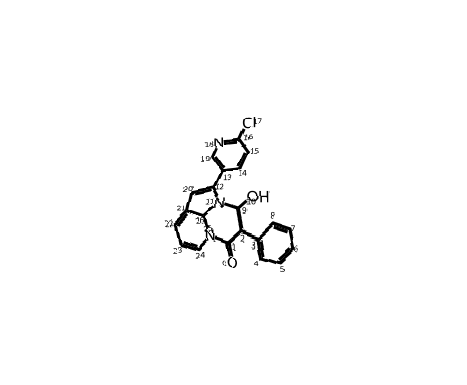 O=C1C(c2ccccc2)C(O)N2C(c3ccc(Cl)nc3)=CC3=CC=CN1C32